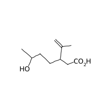 C=C(C)C(CCC(C)O)CC(=O)O